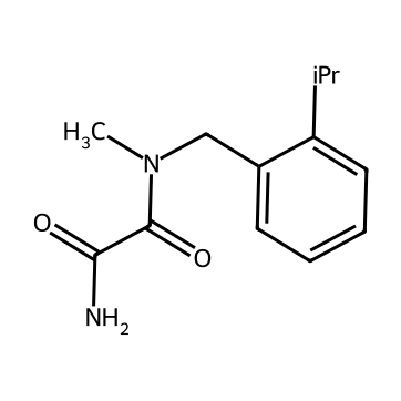 CC(C)c1ccccc1CN(C)C(=O)C(N)=O